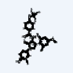 COc1cc(F)c([C@@H]2CN(c3ccc(=O)n(C)c3)C(=O)C2NC(=O)c2ccc(OC(F)(F)F)cc2)c(F)c1